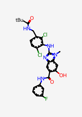 Cn1c(Nc2c(Cl)ccc(CNC(=O)C(C)(C)C)c2Cl)nc2cc(C(=O)Nc3cccc(F)c3)c(O)cc21